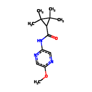 COc1cnc(NC(=O)C2C(C)(C)C2(C)C)cn1